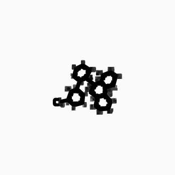 Clc1cccc(-c2ccccc2-c2cc3ccccc3c3ccccc23)c1